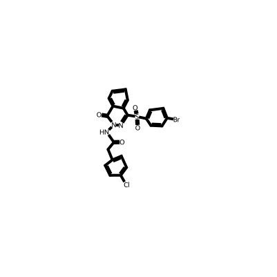 O=C(Cc1ccc(Cl)cc1)Nn1nc(S(=O)(=O)c2ccc(Br)cc2)c2ccccc2c1=O